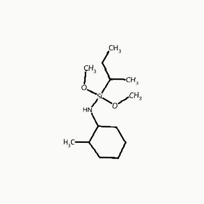 CCC(C)[Si](NC1CCCCC1C)(OC)OC